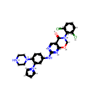 O=C1c2cnc(Nc3ccc(N4CCNCC4)c(-n4cccc4)c3)nc2OCN1c1c(Cl)cccc1Cl